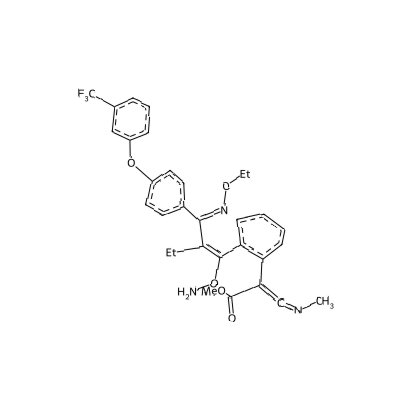 CCON=C(C(CC)=C(ON)c1ccccc1C(=C=NC)C(=O)OC)c1ccc(Oc2cccc(C(F)(F)F)c2)cc1